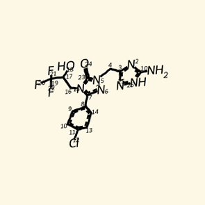 Nc1nc(Cn2nc(-c3ccc(Cl)cc3)n(CC(O)C(F)(F)F)c2=O)n[nH]1